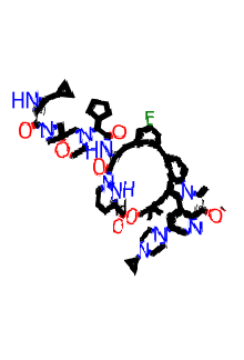 CCn1c(-c2cc(N3CCN(C4CC4)CC3)cnc2[C@H](C)OC)c2c3cc(ccc31)-c1cc(F)cc(c1)C[C@H](NC(=O)C(C1CCCC1)N1CCOC3(CN(C(=O)[C@@H]4NC4C4CC4)C3)C1)C(=O)N1CCC[C@H](N1)C(=O)OCC(C)(C)C2